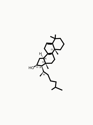 CC(C)CCC[C@@H](C)[C@H]1[C@@H](O)C[C@H]2C3=C(CC[C@]12C)[C@@]1(C)CCCC(C)(C)C1=CC3